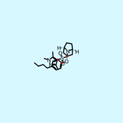 CCCCc1ccc(O[C@@H]2C[C@H]3CC[C@@H](C2)N3CS(=O)(=O)c2c(C)nn(C)c2C)cc1